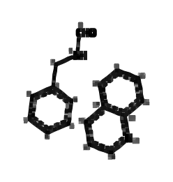 O=CNCc1ccccc1.c1ccc2ncccc2c1